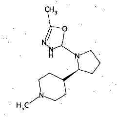 CC1=NNC(N2CCC[C@H]2C2CCN(C)CC2)O1